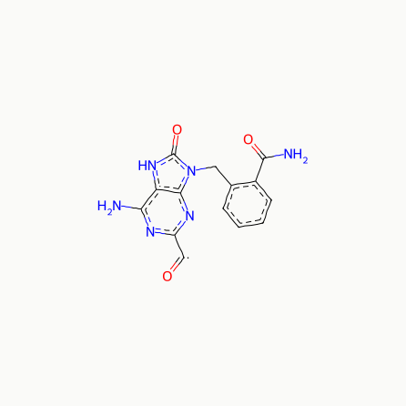 NC(=O)c1ccccc1Cn1c(=O)[nH]c2c(N)nc([C]=O)nc21